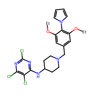 CCOc1cc(CN2CCC(Nc3nc(Cl)nc(Cl)c3Cl)CC2)cc(OCC)c1-n1cccc1